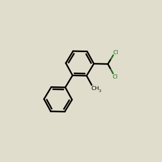 Cc1c(-c2ccccc2)cccc1C(Cl)Cl